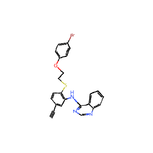 C#Cc1ccc(SCCOc2ccc(Br)cc2)c(Nc2ncnc3ccccc23)c1